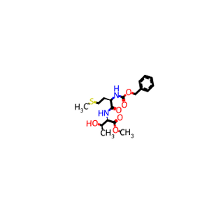 COC(=O)[C@@H](NC(=O)[C@@H](CCSC)NC(=O)OCc1ccccc1)[C@@H](C)O